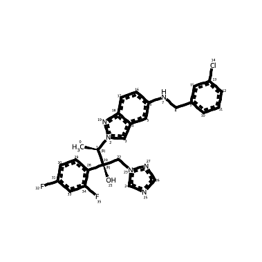 C[C@@H](n1cc2cc(NCc3cccc(Cl)c3)ccc2n1)[C@](O)(Cn1cncn1)c1ccc(F)cc1F